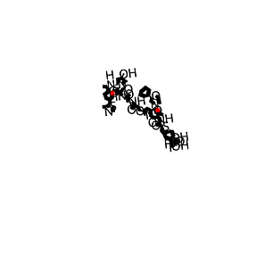 Cc1ncsc1-c1ccc(C(C)NC(=O)[C@@H]2C[C@@H](O)CN2C(=O)C(NC(=O)CNC(=O)CO[C@H]2C[C@@H](C(=O)N3CCO[C@H](c4ccccc4)C3)N(C(=O)C(NC(=O)c3cc4cc(C(F)(F)P(=O)(O)O)ccc4s3)C(C)(C)C)C2)C(C)(C)C)cc1